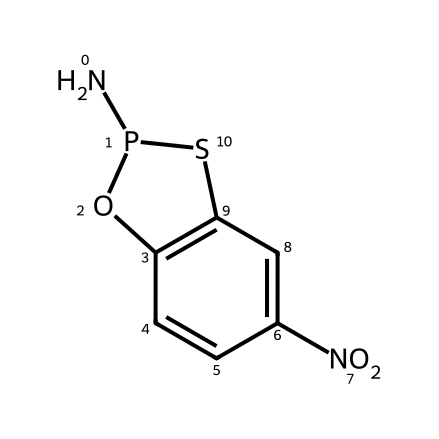 NP1Oc2ccc([N+](=O)[O-])cc2S1